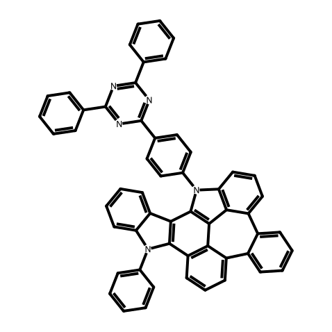 c1ccc(-c2nc(-c3ccccc3)nc(-c3ccc(-n4c5cccc6c5c5c7c(cccc7c7c(c8ccccc8n7-c7ccccc7)c54)-c4ccccc4-6)cc3)n2)cc1